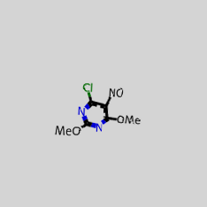 COc1nc(Cl)c(N=O)c(OC)n1